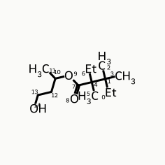 CCC(C)(C)C(C)(CC)C(=O)OC(C)CCO